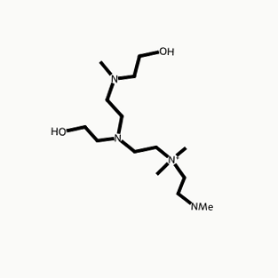 CNCC[N+](C)(C)CCN(CCO)CCN(C)CCO